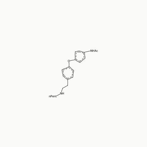 CCCCCNCCc1ccc(Oc2ccc(NC(C)=O)cc2)cc1